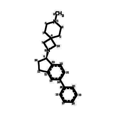 CN1CCC2(CC1)CN([C@@H]1CCc3cc(-c4ccccc4)ccc31)C2